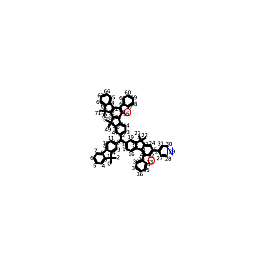 CC1(C)c2ccccc2-c2ccc(C(c3ccc4c(c3)C(C)(C)c3cc(-c5ccncc5)c5oc6ccccc6c5c3-4)c3ccc4c(c3)C(C)(C)c3c5c(c6c(oc7ccccc76)c3-4)-c3ccccc3C5(C)C)cc21